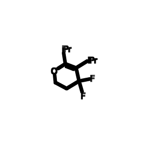 CC(C)C1=C(C(C)C)C(F)(F)CCO1